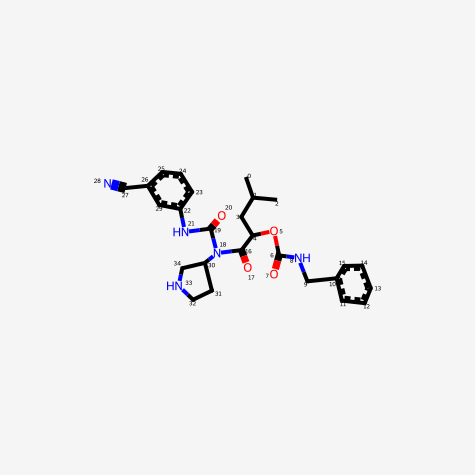 CC(C)CC(OC(=O)NCc1ccccc1)C(=O)N(C(=O)Nc1cccc(C#N)c1)C1CCNC1